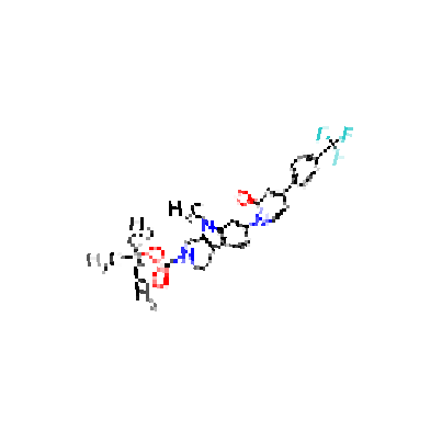 Cn1c2c(c3ccc(-n4ccc(-c5ccc(C(F)(F)F)cc5)cc4=O)cc31)CCN(C(=O)OC(C)(C)C)C2